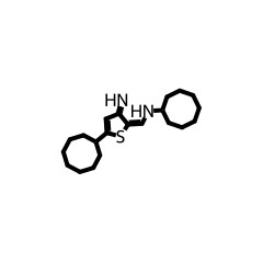 N=C1C=C(C2CCCCCCC2)S/C1=C/NC1CCCCCCC1